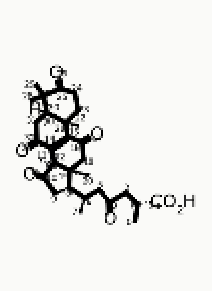 C[C@H](CC(=O)C[C@@H](C)[C@H]1CC(=O)[C@@]2(C)C3=C(C(=O)C[C@]12C)[C@@]1(C)CCC(=O)C(C)(C)[C@@H]1CC3=O)C(=O)O